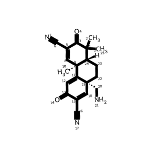 CC1(C)C(=O)C(C#N)=C[C@]2(C)C3=CC(=O)C(C#N)=C[C@]3(CN)CC[C@@H]12